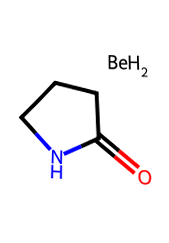 O=C1CCCN1.[BeH2]